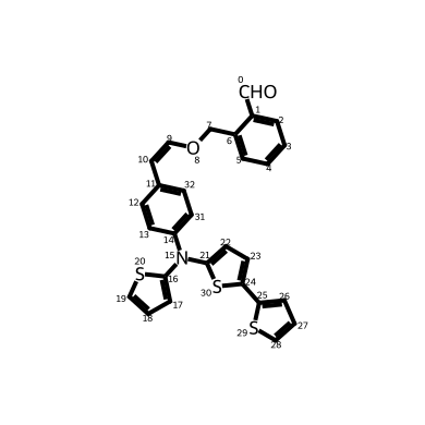 O=Cc1ccccc1CO/C=C\c1ccc(N(c2cccs2)c2ccc(-c3cccs3)s2)cc1